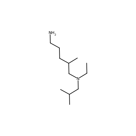 CCN(CC(C)C)CC(C)CCCN